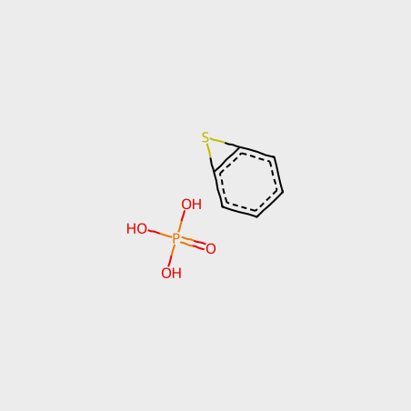 O=P(O)(O)O.c1ccc2c(c1)S2